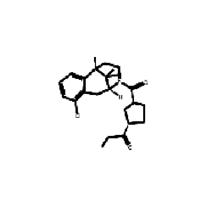 CCC(=O)[C@@H]1CC[C@H](C(=O)N2CC[C@@]3(C)c4cccc(O)c4C[C@@H]2C3(C)C)C1